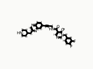 O=C(NCC#Cc1ccc2ncc(CC3CCNCC3)nc2c1)c1cncn(Cc2ccc(F)c(F)c2)c1=O